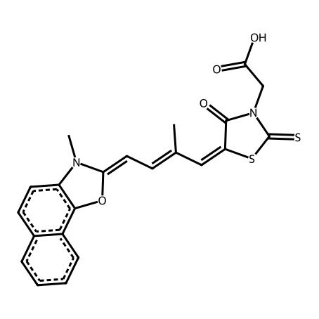 CC(=C\C=C1/Oc2c(ccc3ccccc23)N1C)/C=C1/SC(=S)N(CC(=O)O)C1=O